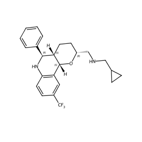 FC(F)(F)c1ccc2c(c1)[C@H]1O[C@@H](CNCC3CC3)CC[C@H]1[C@H](c1ccccc1)N2